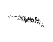 C=CCCCCC1=CCC(c2ccc(C(/C=C(/F)C(=C)C3CCC(C4CCC(CCCCC)CC4)CC3)CC)cc2)C(F)=C1F